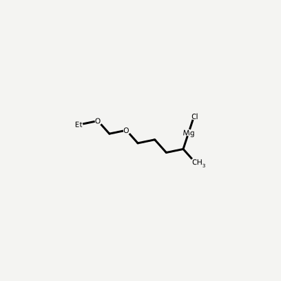 CCOCOCCC[CH](C)[Mg][Cl]